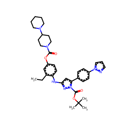 CCc1cc(OC(=O)N2CCC(N3CCCCC3)CC2)ccc1Nc1cc(-c2ccc(-n3cccn3)cc2)n(C(=O)OC(C)(C)C)n1